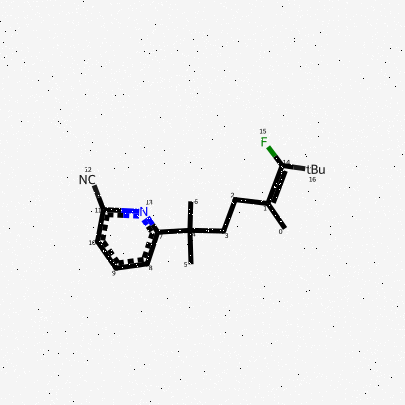 C/C(CCC(C)(C)c1cccc(C#N)n1)=C(/F)C(C)(C)C